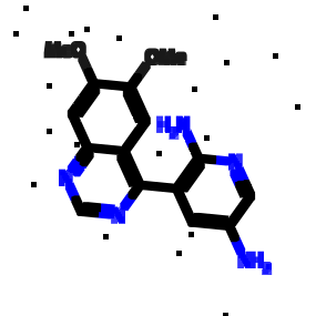 COc1cc2ncnc(-c3cc(N)cnc3N)c2cc1OC